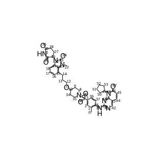 Cc1cc(S(=O)(=O)N2CCC(OCCCc3cccc4c3n(C)c(=O)n4C3CCC(=O)NC3=O)CC2)ccc1Nc1ncc2ccc(=O)n(C3CCCC3)c2n1